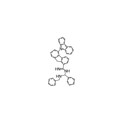 N=C(NC(NCc1ccccc1)c1ccccc1)c1cccc2c1Cc1cccc(-n3c4ccccc4c4ccccc43)c1-2